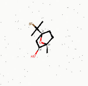 CC(C)(Br)[C@@]12CC[C@@](C)(O1)[C@@H](O)C2